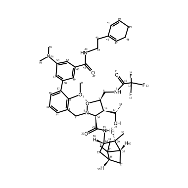 COc1c(CN2O[C@@H](CNC(=O)C(F)(F)F)[C@@H]([C@H](C)O)[C@H]2C(=O)N[C@H]2C[C@H]3C[C@@H]([C@@H]2C)C3(C)C)cccc1-c1cc(C(=O)NCCC2=CCCC=C2)cc(N(C)C)c1